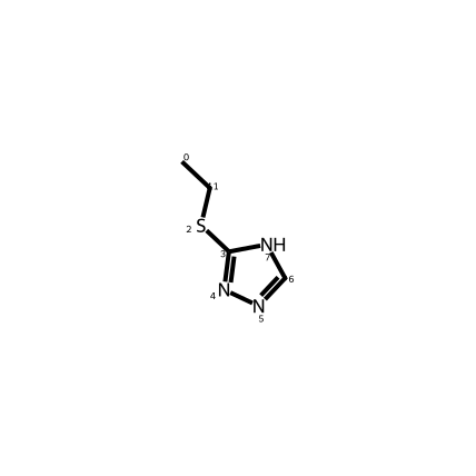 C[CH]Sc1nnc[nH]1